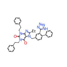 CCc1nc2c(c(=O)n(CCc3ccccc3)c(=O)n2CCc2ccccc2)n1Cc1ccc(-c2ccccc2)c(-c2nnn[nH]2)c1